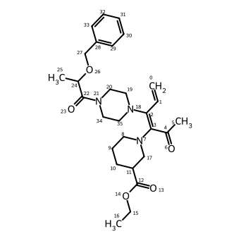 C=C/C(=C(\C(C)=O)N1CCCC(C(=O)OCC)C1)N1CCN(C(=O)C(C)OCc2ccccc2)CC1